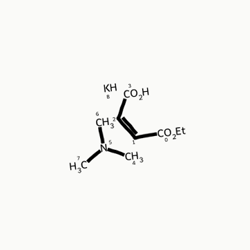 CCOC(=O)/C=C\C(=O)O.CN(C)C.[KH]